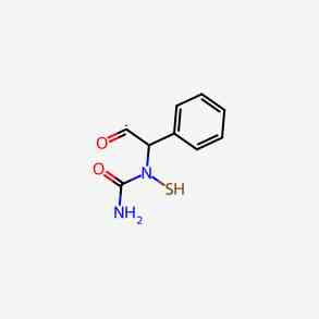 NC(=O)N(S)C([C]=O)c1ccccc1